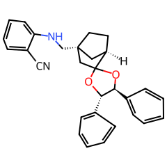 N#Cc1ccccc1NC[C@]12CC[C@H](C1)C1(C2)O[C@@H](c2ccccc2)[C@H](c2ccccc2)O1